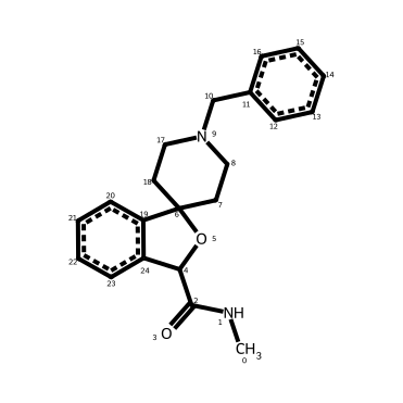 CNC(=O)C1OC2(CCN(Cc3ccccc3)CC2)c2ccccc21